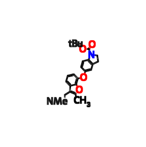 CNCc1c(C)oc2c(Oc3ccc4c(c3)CCN4C(=O)OC(C)(C)C)cccc12